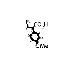 COc1ccc(C(CF)C(=O)O)cc1